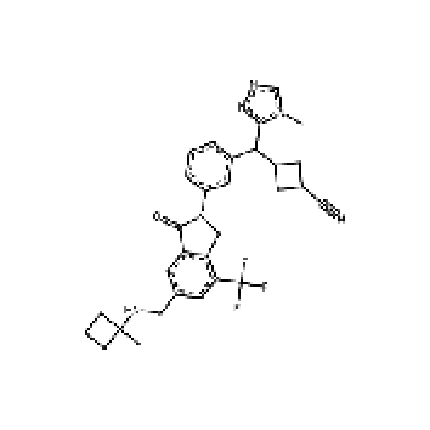 Cn1cnnc1C(c1cccc(N2Cc3c(cc(CNC4(C)CCC4)cc3C(F)(F)F)C2=O)c1)C1CC(C#N)C1